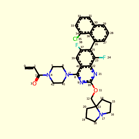 C=CC(=O)N1CCN(c2nc(OCC34CCCN3CCC4)nc3c(F)c(-c4cccc5cccc(Cl)c45)c(F)cc23)CC1